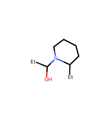 CCC(O)N1CCCCC1CC